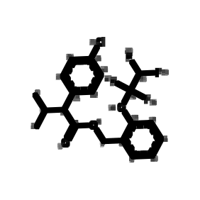 CC(C)C(C(=O)OCc1ccccc1OC(F)(F)C(F)F)c1ccc(Cl)cc1